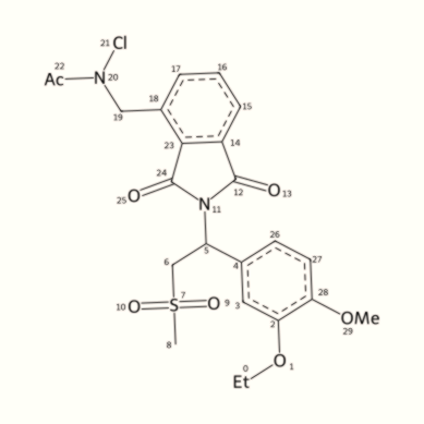 CCOc1cc(C(CS(C)(=O)=O)N2C(=O)c3cccc(CN(Cl)C(C)=O)c3C2=O)ccc1OC